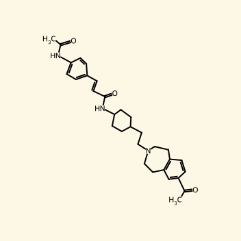 CC(=O)Nc1ccc(C=CC(=O)NC2CCC(CCN3CCc4ccc(C(C)=O)cc4CC3)CC2)cc1